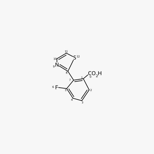 O=C(O)c1cccc(F)c1-c1nccs1